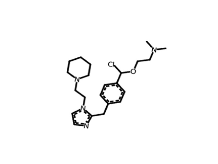 CN(C)CCOC(Cl)c1ccc(Cc2nccn2CCN2CCCCC2)cc1